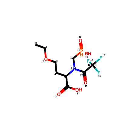 CCOCCC(C(=O)O)N(C[PH](=O)O)C(=O)C(F)(F)F